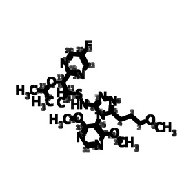 COCCCc1nnc(NSC(C)[C@@H](OC(C)C)c2ncc(F)cn2)n1-c1c(OC)ncnc1OC